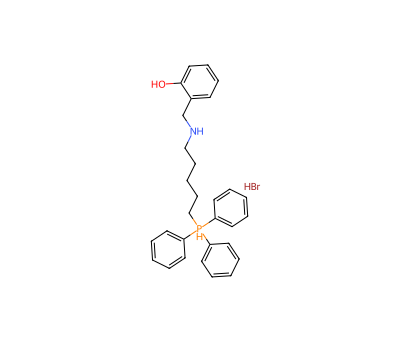 Br.Oc1ccccc1CNCCCCC[PH](c1ccccc1)(c1ccccc1)c1ccccc1